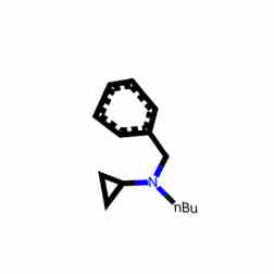 C[CH]CCN(Cc1ccccc1)C1CC1